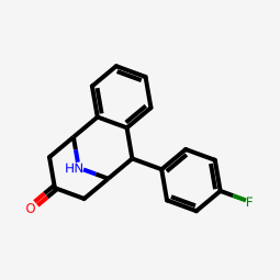 O=C1CC2NC(C1)C(c1ccc(F)cc1)c1ccccc12